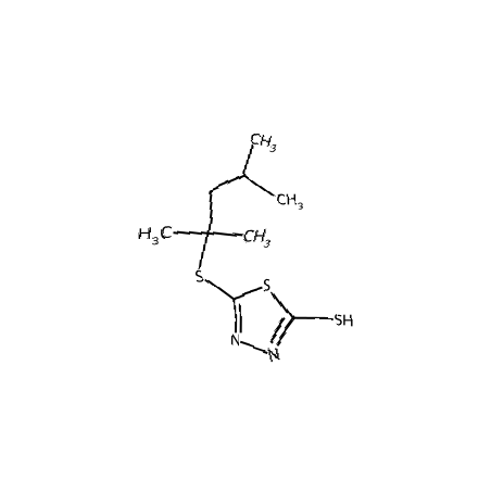 CC(C)CC(C)(C)Sc1nnc(S)s1